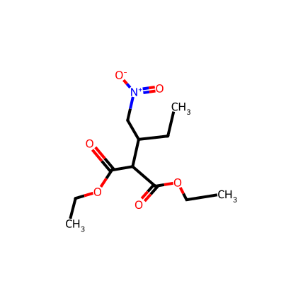 CCOC(=O)C(C(=O)OCC)C(CC)C[N+](=O)[O-]